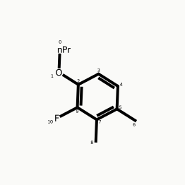 CCCOc1ccc(C)c(C)c1F